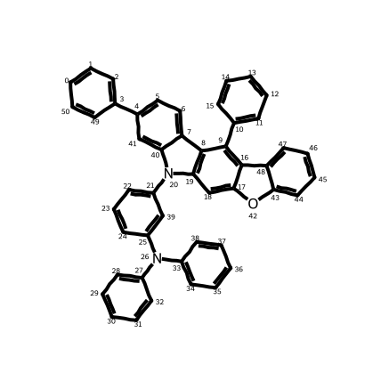 c1ccc(-c2ccc3c4c(-c5ccccc5)c5c(cc4n(-c4cccc(N(c6ccccc6)c6ccccc6)c4)c3c2)oc2ccccc25)cc1